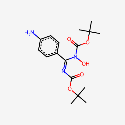 CC(C)(C)OC(=O)N=C(c1ccc(N)cc1)N(O)C(=O)OC(C)(C)C